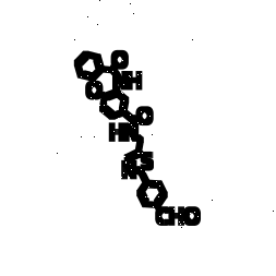 O=Cc1ccc(-c2ncc(CNC(=O)c3ccc4c(c3)NC(=O)c3ccccc3O4)s2)cc1